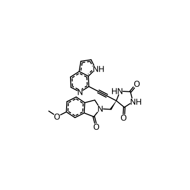 COc1ccc2c(c1)C(=O)N(C[C@@]1(C#Cc3nccc4cc[nH]c34)NC(=O)NC1=O)C2